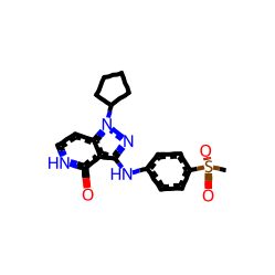 CS(=O)(=O)c1ccc(Nc2nn(C3CCCC3)c3cc[nH]c(=O)c23)cc1